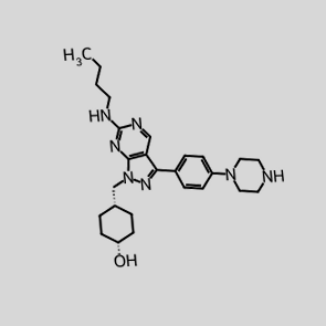 CCCCNc1ncc2c(-c3ccc(N4CCNCC4)cc3)nn(C[C@H]3CC[C@@H](O)CC3)c2n1